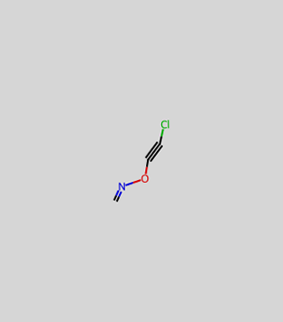 C=NOC#CCl